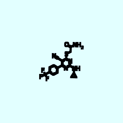 N#Cc1c(SCC(N)=O)nc(NC2CC2)nc1-c1ccc(C(F)(F)F)cc1